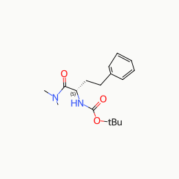 CN(C)C(=O)[C@H](CCc1ccccc1)NC(=O)OC(C)(C)C